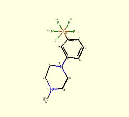 CC(C)N1CCN(c2cccc(S(F)(F)(F)(F)F)c2)CC1